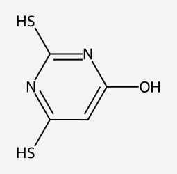 Oc1cc(S)nc(S)n1